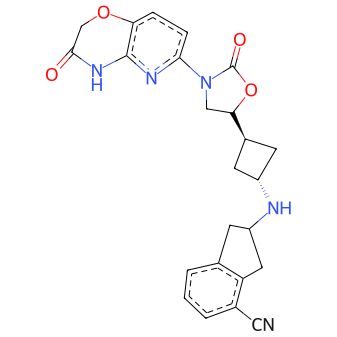 N#Cc1cccc2c1CC(N[C@H]1C[C@H](C3CN(c4ccc5c(n4)NC(=O)CO5)C(=O)O3)C1)C2